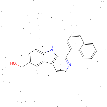 OCc1ccc2[nH]c3c(-c4cccc5ccccc45)nccc3c2c1